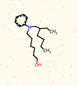 CCCCC(CC)CN(CCCCCCO)c1ccccc1